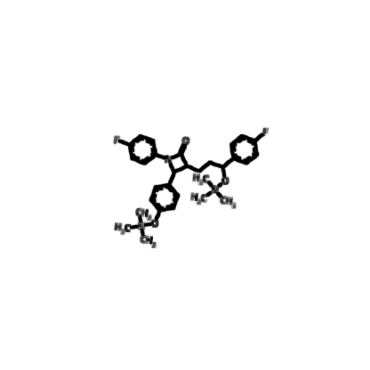 C[Si](C)(C)Oc1ccc(C2C(CCC(O[Si](C)(C)C)c3ccc(F)cc3)C(=O)N2c2ccc(F)cc2)cc1